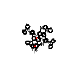 N#Cc1ccc(-c2ccc(-c3ccc(C(F)(F)F)cc3C#N)cc2-n2c3ccc(-n4c5ccccc5c5ccccc54)cc3c3cc(-n4c5ccccc5c5ccccc54)ccc32)c(-n2c3ccc(-n4c5ccccc5c5ccccc54)cc3c3cc(-n4c5ccccc5c5ccccc54)ccc32)c1